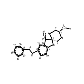 CO[C@H]1CC[C@]2(CC1)Cc1ccc(CCc3ccccc3)cc1C2=O